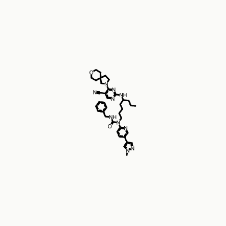 CCCC(CCCCN(C(=O)NCc1ccccc1)c1ccc(-c2cnn(C)c2)cn1)Nc1ncc(C#N)c(N2CCC3(CCOCC3)C2)n1